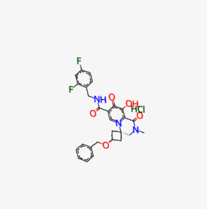 CN1C[C@]2(C[C@H](OCc3ccccc3)C2)n2cc(C(=O)NCc3ccc(F)cc3F)c(=O)c(O)c2C1=O.Cl